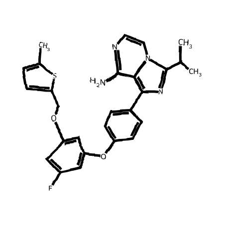 Cc1ccc(COc2cc(F)cc(Oc3ccc(-c4nc(C(C)C)n5ccnc(N)c45)cc3)c2)s1